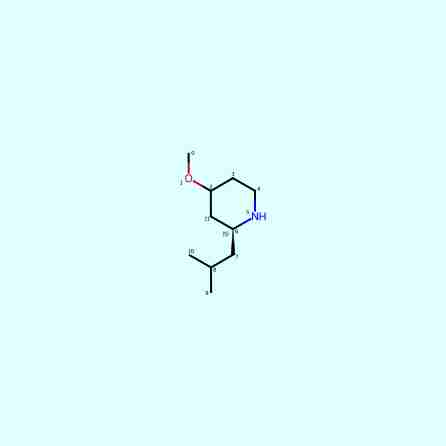 COC1CCN[C@@H](CC(C)C)C1